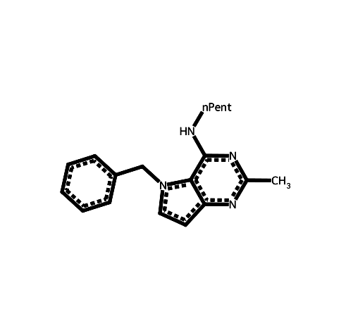 CCCCCNc1nc(C)nc2ccn(Cc3ccccc3)c12